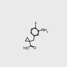 Nc1cc(CC2(C(=O)O)CC2)ccc1F